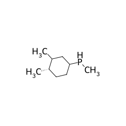 CPC1CC[C@H](C)C(C)C1